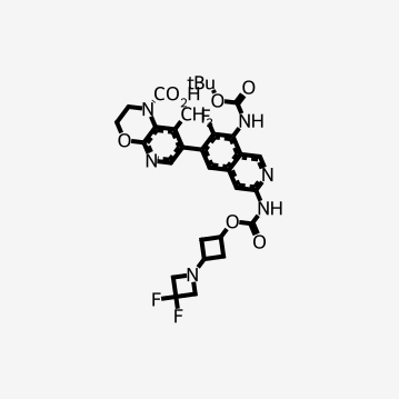 Cc1c(-c2cc3cc(NC(=O)OC4CC(N5CC(F)(F)C5)C4)ncc3c(NC(=O)OC(C)(C)C)c2F)cnc2c1N(C(=O)O)CCO2